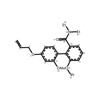 C=CCOc1ccc(-c2c(OC(C)C)cccc2C(=O)N(CC)CC)c(OC)c1